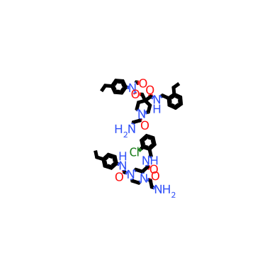 CCc1ccc(N(C=O)OCC2(C(=O)NCc3ccccc3CC)CCN(C(=O)CN)CC2)cc1.CCc1ccc(NC(=O)N2CCN(C(=O)CN)C(C(=O)NCc3ccccc3Cl)C2)cc1